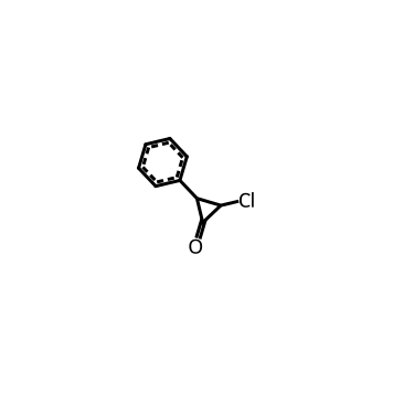 O=C1C(Cl)C1c1ccccc1